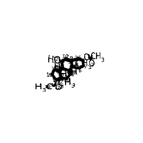 CC(=O)OC1CC[C@@]2(C)C(=CC(O)[C@H]3[C@@H]4CC[C@H](C(C)=O)[C@@]4(C)CC[C@@H]32)C1